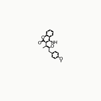 COc1ccc(CC2=C(C)c3c(c4ccccc4oc3=O)NO2)cc1